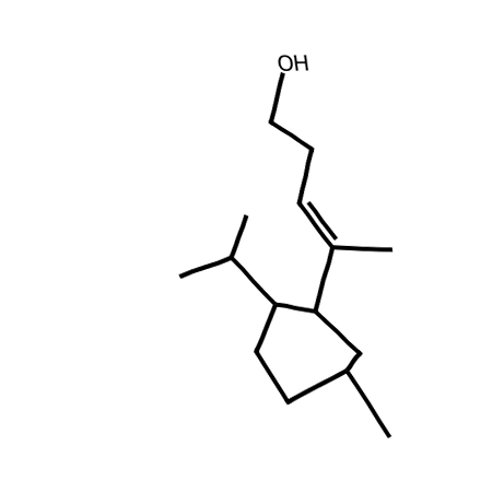 CC(=CCCO)C1CC(C)CCC1C(C)C